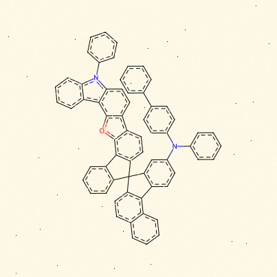 c1ccc(-c2ccc(N(c3ccccc3)c3ccc4c(c3)C3(c5ccccc5-c5c3ccc3c5oc5c3ccc3c5c5ccccc5n3-c3ccccc3)c3ccc5ccccc5c3-4)cc2)cc1